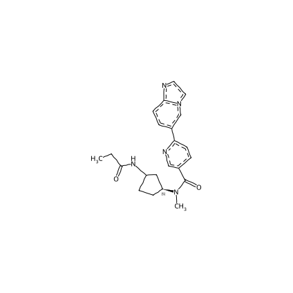 CCC(=O)NC1CC[C@H](N(C)C(=O)c2ccc(-c3ccc4nccn4c3)nc2)C1